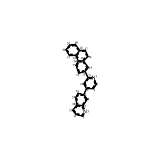 c1cnc2cc(-c3ccnc(-c4ccc5c(ccc6ccccc65)c4)c3)ccc2c1